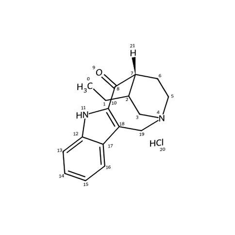 CCC1CN2CC[C@H]1C(=O)c1[nH]c3ccccc3c1C2.Cl